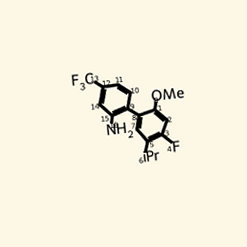 COc1cc(F)c(C(C)C)cc1-c1ccc(C(F)(F)F)cc1N